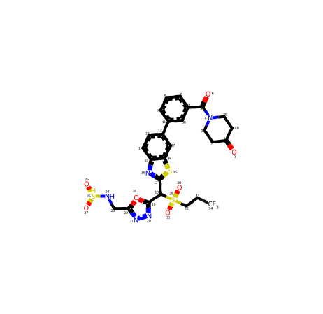 O=C1CCN(C(=O)c2cccc(-c3ccc4nc(C(c5nnc(CN[SH](=O)=O)o5)S(=O)(=O)CCC(F)(F)F)sc4c3)c2)CC1